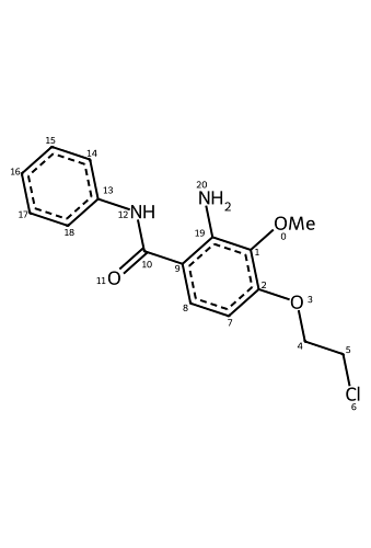 COc1c(OCCCl)ccc(C(=O)Nc2ccccc2)c1N